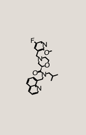 COc1ncc(F)cc1CN1CCO[C@@H](C(=O)N(Cc2cccc3cccnc23)CC(C)C)C1